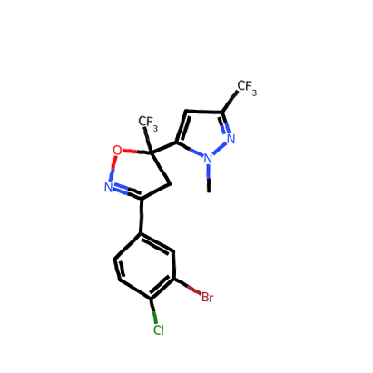 Cn1nc(C(F)(F)F)cc1C1(C(F)(F)F)CC(c2ccc(Cl)c(Br)c2)=NO1